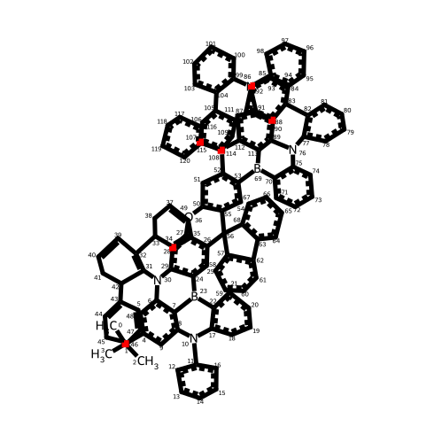 CC(C)(C)c1cc2c3c(c1)N(c1ccccc1)c1ccccc1B3c1cc3c(cc1N2C1=C(C2C=CC=CC2)C=CCC1C1=CCCC=C1)Oc1cc2c(cc1C31c3ccccc3-c3ccccc31)B1c3ccccc3N(c3ccccc3-c3ccccc3)c3cc(N(c4ccccc4)c4ccccc4-c4ccccc4)cc(c31)N2c1ccccc1